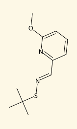 COc1cccc(/C=N/SC(C)(C)C)n1